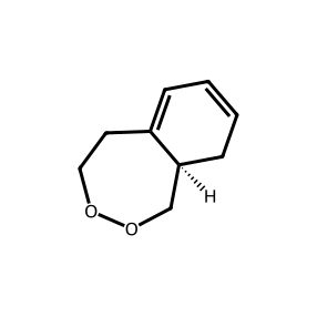 C1=CC[C@H]2COOCCC2=C1